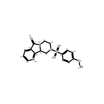 CC(C)Oc1ccc(S(=O)(=O)N2CCN3C(=O)c4cccnc4C3C2)cc1